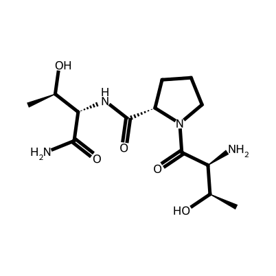 C[C@@H](O)[C@H](N)C(=O)N1CCC[C@H]1C(=O)N[C@H](C(N)=O)[C@@H](C)O